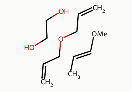 C/C=C/OC.C=CCOCC=C.OCCO